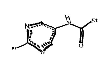 CCC(=O)Nc1cnc(CC)nc1